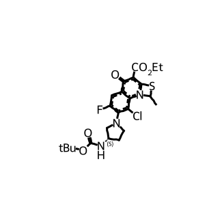 CCOC(=O)c1c2n(c3c(Cl)c(N4CC[C@H](NC(=O)OC(C)(C)C)C4)c(F)cc3c1=O)C(C)S2